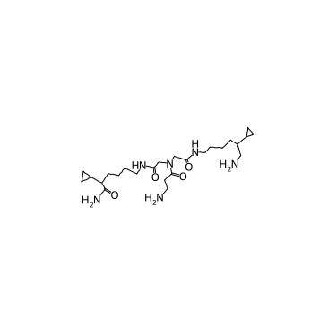 NCCC(=O)N(CC(=O)NCCCCC(CN)C1CC1)CC(=O)NCCCCC(C(N)=O)C1CC1